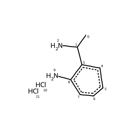 CC(N)c1ccccc1N.Cl.Cl